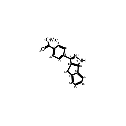 COC(=O)c1ccc(-c2n[nH]c3c2Cc2ccccc2-3)cc1